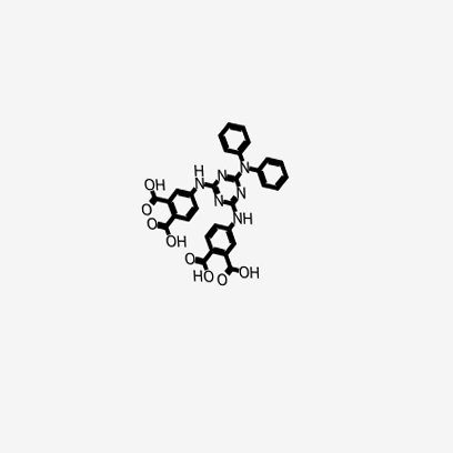 O=C(O)c1ccc(Nc2nc(Nc3ccc(C(=O)O)c(C(=O)O)c3)nc(N(c3ccccc3)c3ccccc3)n2)cc1C(=O)O